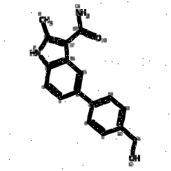 Cc1[nH]c2c[c]c(-c3ccc(CO)cc3)cc2c1C(N)=O